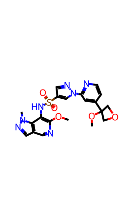 COc1ncc2cnn(C)c2c1NS(=O)(=O)c1cnn(-c2cc(C3(OC)COC3)ccn2)c1